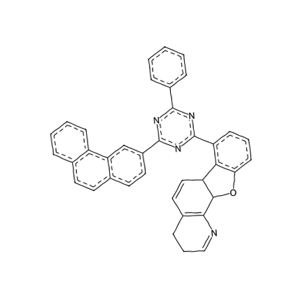 C1=CC2c3c(cccc3-c3nc(-c4ccccc4)nc(-c4ccc5ccc6ccccc6c5c4)n3)OC2C2=C1CCC=N2